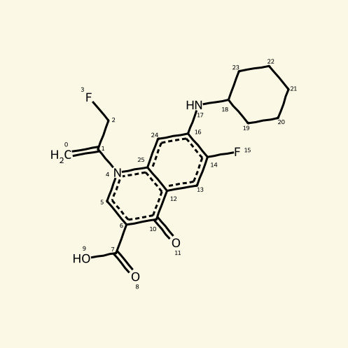 C=C(CF)n1cc(C(=O)O)c(=O)c2cc(F)c(NC3CCCCC3)cc21